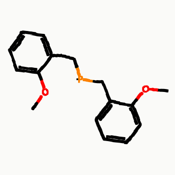 COc1ccccc1C[P]Cc1ccccc1OC